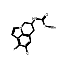 CC(C)(C)OC(=O)NC1Cc2cc(Cl)c(F)c3ccn(c23)C1